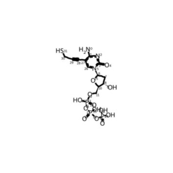 Nc1nc(=O)n([C@H]2C[C@H](O)[C@@H](COP(=O)(O)OP(=O)(O)OP(=O)(O)O)O2)cc1C#CCS